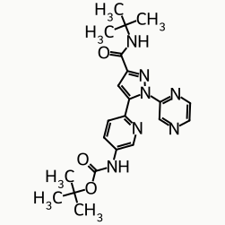 CC(C)(C)NC(=O)c1cc(-c2ccc(NC(=O)OC(C)(C)C)cn2)n(-c2cnccn2)n1